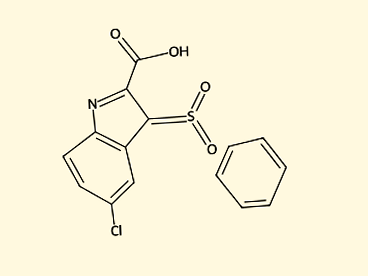 O=C(O)C1=Nc2ccc(Cl)cc2C1=S(=O)=O.c1ccccc1